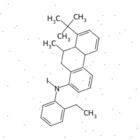 CCc1ccccc1N(I)c1cccc2c1CC(C)C1C(C(C)(C)C)=CC=CC21